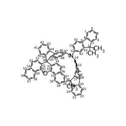 CC1(C)c2ccccc2-c2ccc(N3c4ccc5c(c4)-c4ccccc4C5(C)c4ccc5c6c(ccc5c4)C4(c5ccccc5-c5cc3ccc54)c3ccc4ccccc4c3O6)cc21